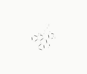 O=C/C=C(\c1cncnc1)c1c(OCCO)nc2ccccc2c1-c1ccccc1